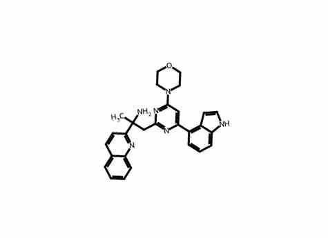 CC(N)(Cc1nc(-c2cccc3[nH]ccc23)cc(N2CCOCC2)n1)c1ccc2ccccc2n1